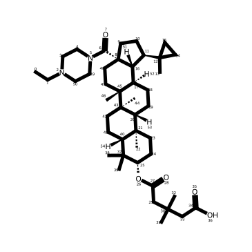 CCN1CCN(C(=O)[C@]23CC[C@@H](C4(C)CC4)[C@@H]2[C@H]2CC[C@@H]4[C@@]5(C)CC[C@H](OC(=O)CC(C)(C)CC(=O)O)C(C)(C)[C@@H]5CC[C@@]4(C)[C@]2(C)CC3)CC1